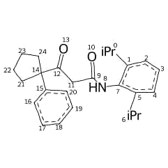 CC(C)c1cccc(C(C)C)c1NC(=O)CC(=O)C1(c2ccccc2)CCCC1